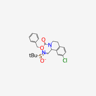 CC(C)(C)[S+]([O-])N=CC1c2cc(Cl)ccc2CCN1C(=O)OCc1ccccc1